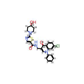 O=C(NCc1cn(-c2ccccc2)c2cc(Cl)ccc2c1=O)c1cnc(N2CCC(O)CC2)s1